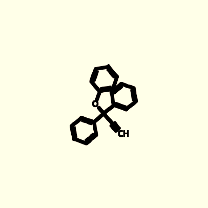 C#CC(Oc1cc[c]cc1)(c1ccccc1)c1ccccc1